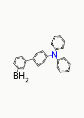 Bc1cccc(-c2ccc(N(c3ccccc3)c3ccccc3)cc2)c1